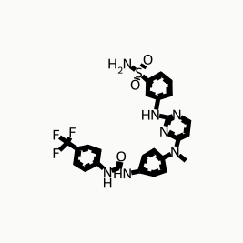 CN(c1ccc(NC(=O)Nc2ccc(C(F)(F)F)cc2)cc1)c1ccnc(Nc2cccc(S(N)(=O)=O)c2)n1